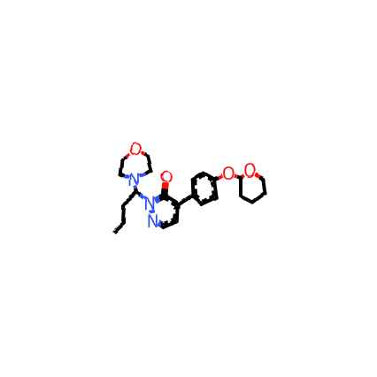 CCCC(N1CCOCC1)n1nccc(-c2ccc(OC3CCCCO3)cc2)c1=O